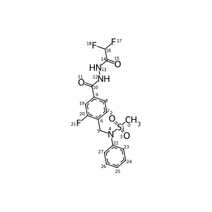 CS(=O)(=O)N(Cc1ccc(C(=O)NNC(=O)C(F)F)cc1F)c1ccccc1